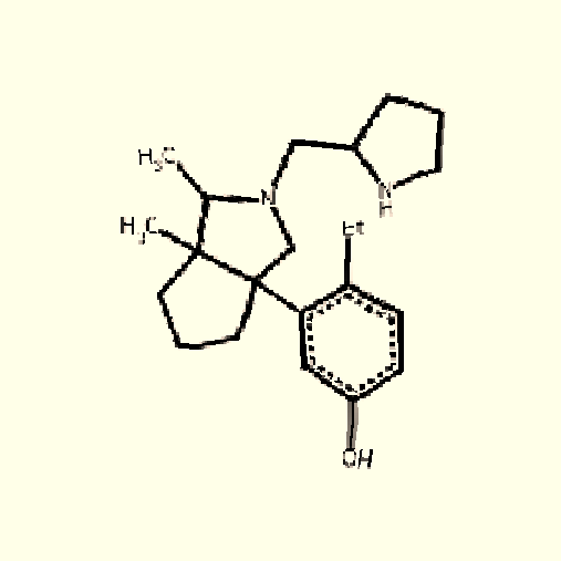 CCc1ccc(O)cc1C12CCCC1(C)C(C)N(CC1CCCN1)C2